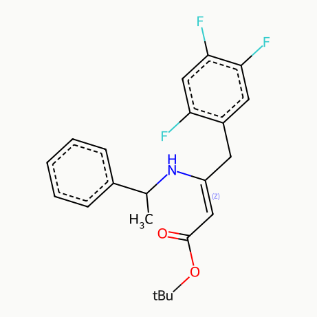 CC(N/C(=C\C(=O)OC(C)(C)C)Cc1cc(F)c(F)cc1F)c1ccccc1